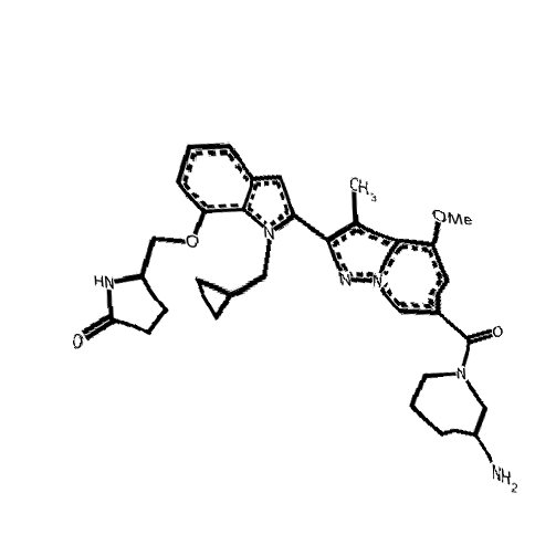 COc1cc(C(=O)N2CCCC(N)C2)cn2nc(-c3cc4cccc(OCC5CCC(=O)N5)c4n3CC3CC3)c(C)c12